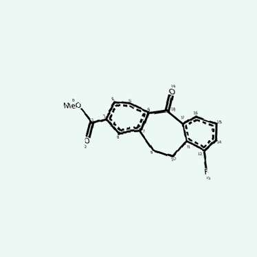 COC(=O)c1ccc2c(c1)CCc1c(F)cccc1C2=O